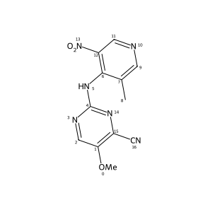 COc1cnc(Nc2c(C)cncc2[N+](=O)[O-])nc1C#N